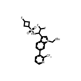 CC(C)(C)Cn1cc(C(NS(=O)(=O)C2CC(F)C2)C(F)F)c2ccc(-c3cccnc3C(F)(F)F)cc21